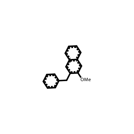 COc1cc2ccccc2cc1Cc1ccccc1